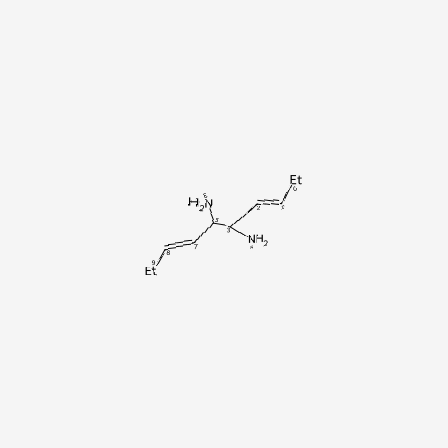 CCC=CC(N)C(N)C=CCC